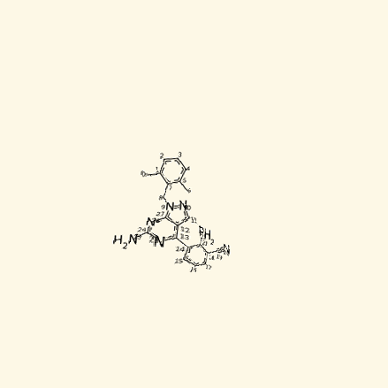 Cc1cccc(C)c1Cn1ncc2c(-c3cccc(C#N)c3P)nc(N)nc21